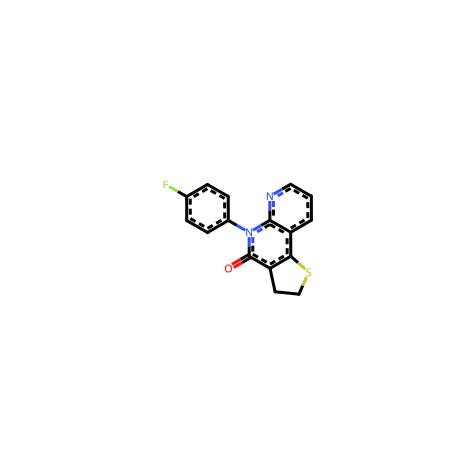 O=c1c2c(c3cccnc3n1-c1ccc(F)cc1)SCC2